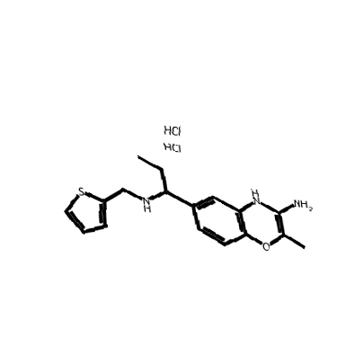 CCC(NCc1cccs1)c1ccc2c(c1)NC(N)=C(C)O2.Cl.Cl